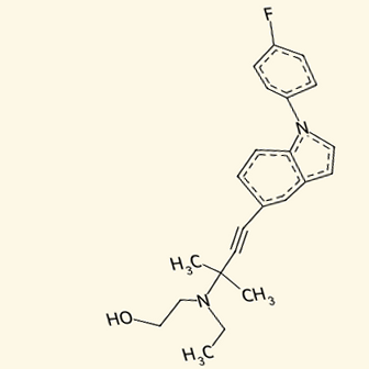 CCN(CCO)C(C)(C)C#Cc1ccc2c(ccn2-c2ccc(F)cc2)c1